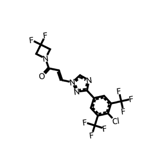 O=C(C=Cn1cnc(-c2cc(C(F)(F)F)c(Cl)c(C(F)(F)F)c2)n1)N1CC(F)(F)C1